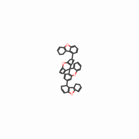 C1=Cc2oc3c(c2CC1)C(c1ccc2c(c1)Oc1ccccc1C21C2=C(CC(c4cccc5oc6c(c45)CCC=C6)C=C2)Oc2ccccc21)CC=C3